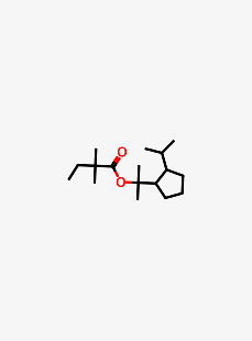 CCC(C)(C)C(=O)OC(C)(C)C1CCCC1C(C)C